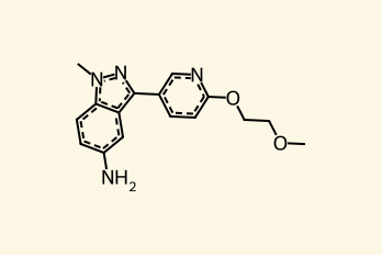 COCCOc1ccc(-c2nn(C)c3ccc(N)cc23)cn1